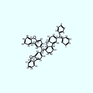 c1ccc(N(c2ccccc2)c2ccc3sc4c(N(c5ccc6c(c5)oc5ccccc56)c5ccc6oc7ccccc7c6c5)cccc4c3c2)cc1